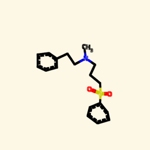 CN(CCCS(=O)(=O)c1ccccc1)CCc1ccccc1